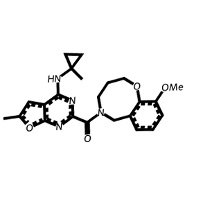 COc1cccc2c1OCCCN(C(=O)c1nc(NC3(C)CC3)c3cc(C)oc3n1)C2